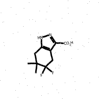 CC1(C)Cc2[nH]nc(C(=O)O)c2CC1(F)F